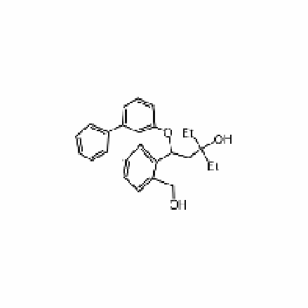 CCC(O)(CC)CC(Oc1cccc(-c2ccccc2)c1)c1c[c]ccc1CO